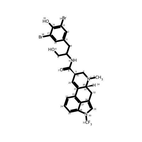 CN1C[C@H](C(=O)NC(CO)Cc2cc(Br)c(O)c(Br)c2)C=C2c3cccc4c3c(cn4C(F)(F)F)C[C@H]21